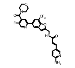 Nc1ccc(C=CC(=O)NCc2cc3cc(-c4cc(C(=O)N5CCOCC5)c(F)cn4)cc(C(F)(F)F)c3o2)cn1